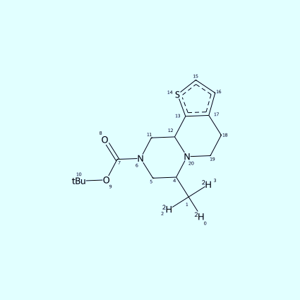 [2H]C([2H])([2H])C1CN(C(=O)OC(C)(C)C)CC2c3sccc3CCN21